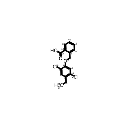 CCc1cc(Cl)c(OCc2ccccc2C(=O)O)cc1Cl